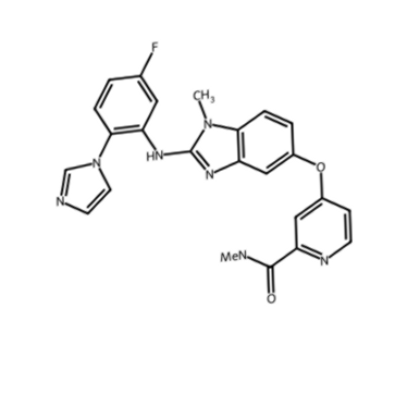 CNC(=O)c1cc(Oc2ccc3c(c2)nc(Nc2cc(F)ccc2-n2ccnc2)n3C)ccn1